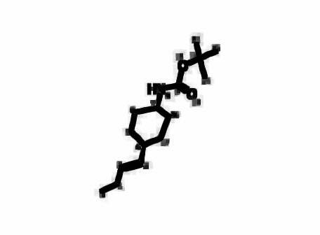 CCC=C[C@H]1CC[C@@H](NC(=O)OC(C)(C)C)CC1